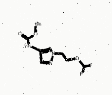 CC(C)(C)OC(=O)Nc1cnn(CCOC(F)F)c1